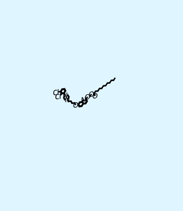 CCCCCCCCCCCC(=O)OCOc1ccc2ccc(OCCCCN3CCN(c4cccc(Cl)c4Cl)CC3)cc2n1